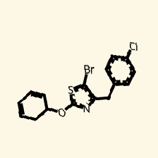 Clc1ccc(Cc2nc(OC3C=CC=CC3)sc2Br)cc1